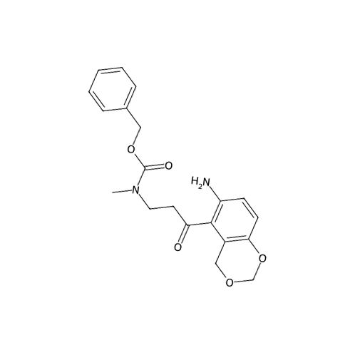 CN(CCC(=O)c1c(N)ccc2c1COCO2)C(=O)OCc1ccccc1